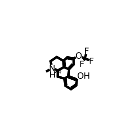 CN1CCc2cc(OC(F)(F)F)cc3c2[C@H]1Cc1cccc(O)c1-3